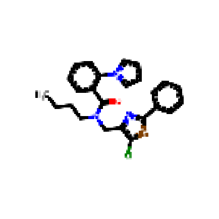 CCCCN(Cc1nc(-c2ccccc2)sc1Cl)C(=O)c1ccccc1-n1cccc1